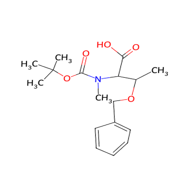 CC(OCc1ccccc1)C(C(=O)O)N(C)C(=O)OC(C)(C)C